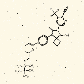 CC(C)(C)[Si](C)(C)OCC1CCC=C(c2ccc(N3C(=S)N(c4cnc(C#N)c(C(F)(F)F)c4)C(O)C34CCC4)cc2)O1